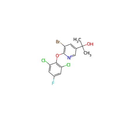 CC(C)(O)c1cnc(Oc2c(Cl)cc(F)cc2Cl)c(Br)c1